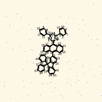 c1ccc(-c2nc(-c3ccccc3)nc(-c3c4ccccc4c(-c4ccc5c(c4)C(c4ccccc4)(c4ccccc4)c4ccccc4-5)c4ccccc34)n2)cc1